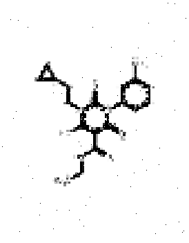 O=C(O)CNC(=O)c1c(O)n(CCC2CC2)c(=O)n(-c2cccc([N+](=O)[O-])c2)c1=O